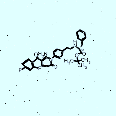 CC(C)(C)OC(=O)[C@H](Cc1ccccc1)NCCc1ccc(-n2c(N)c(C(=O)c3ccc(F)cc3F)ccc2=O)cc1